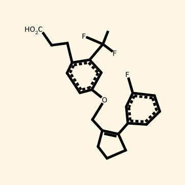 CC(F)(F)c1cc(OCC2=C(c3cccc(F)c3)CCC2)ccc1CCC(=O)O